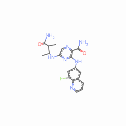 CC(Nc1cnc(C(N)=O)c(Nc2cc(F)c3ncccc3c2)n1)C(C)C(N)=O